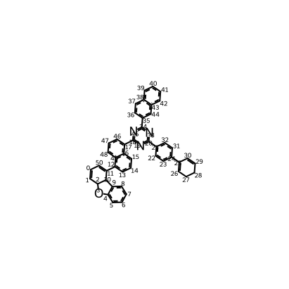 C1=CC2Oc3ccccc3C2C(c2cccc3c(-c4nc(-c5ccc(C6=CCCC=C6)cc5)nc(-c5ccc6ccccc6c5)n4)cccc23)=C1